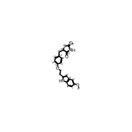 COc1ccc2[nH]c(CCOc3ccc(CC4SC(=O)NC4=O)cc3)cc2c1